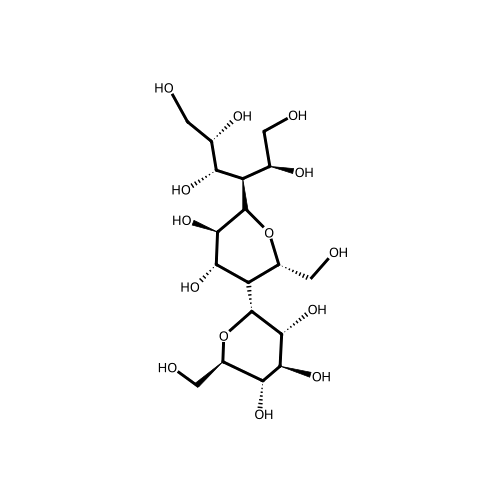 OC[C@@H](O)[C@@H](C1O[C@H](CO)C([C@H]2O[C@H](CO)[C@@H](O)[C@H](O)[C@H]2O)[C@H](O)[C@H]1O)[C@H](O)[C@@H](O)CO